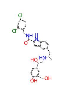 CC(Cc1ccc2[nH]c(C(=O)NCc3ccc(Cl)cc3Cl)cc2c1)NCC(O)c1ccc(O)c(CO)c1